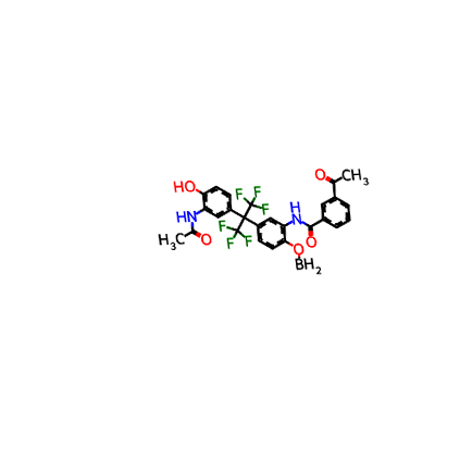 BOc1ccc(C(c2ccc(O)c(NC(C)=O)c2)(C(F)(F)F)C(F)(F)F)cc1NC(=O)c1cccc(C(C)=O)c1